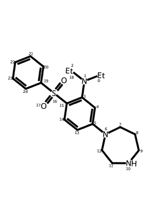 CCN(CC)c1cc(N2CCCNCC2)ccc1S(=O)(=O)c1ccccc1